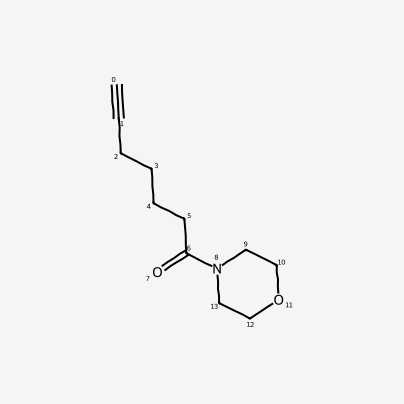 C#CCCCCC(=O)N1CCOCC1